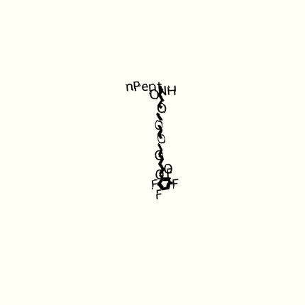 CCCCCNC(=O)CCOCCOCCOCCOCCC(=O)Oc1c(F)c(F)cc(F)c1F